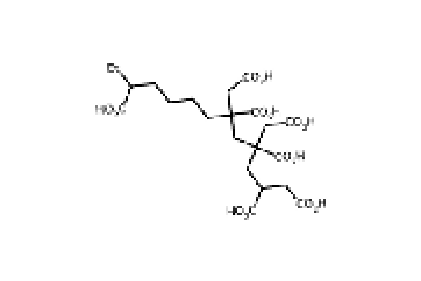 CCC(CCCCC(CC(=O)O)(CC(CC(=O)O)(CC(CC(=O)O)C(=O)O)C(=O)O)C(=O)O)C(=O)O